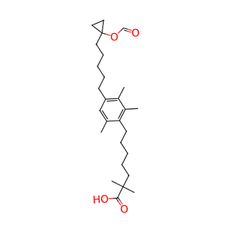 Cc1cc(CCCCCC2(OC=O)CC2)c(C)c(C)c1CCCCCC(C)(C)C(=O)O